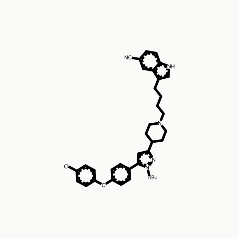 CCCCn1nc(C2CCN(CCCCc3c[nH]c4ccc(C#N)cc34)CC2)cc1-c1ccc(Oc2ccc(Cl)cc2)cc1